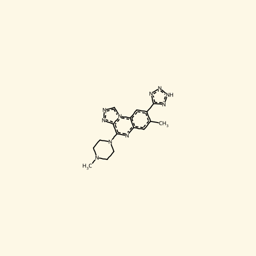 Cc1cc2nc(N3CCN(C)CC3)c3nncn3c2cc1-c1nn[nH]n1